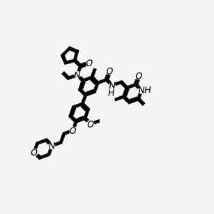 CCN(C(=O)C1CCCC1)c1cc(-c2ccc(OCCN3CCOCC3)c(OC)c2)cc(C(=O)NCc2c(C)cc(C)[nH]c2=O)c1C